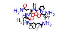 CC(C)[C@H](N)C(=O)N1CCC[C@H]1C(=O)N[C@@H](CCC(N)=O)C(=O)N[C@@H](C)C(=O)N[C@@H](CCCCN)C(=O)O